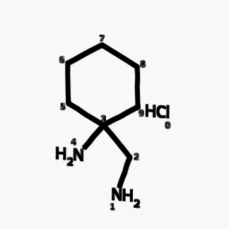 Cl.NCC1(N)CCCCC1